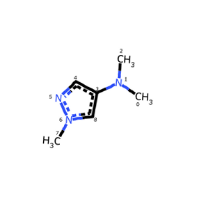 CN(C)c1cnn(C)c1